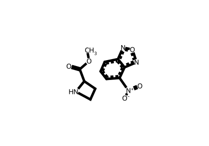 COC(=O)C1CCN1.O=[N+]([O-])c1cccc2nonc12